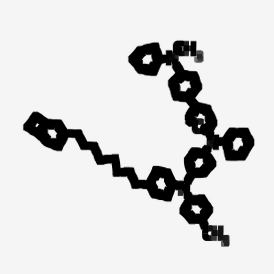 Cc1ccc(N(c2ccc(CCCCCCCCc3ccc4c(c3)CC4)cc2)c2ccc(N(c3ccccc3)c3ccc(-c4ccc(N(C)c5ccccc5)cc4)cc3)cc2)cc1